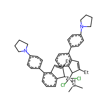 CCC1=Cc2c(-c3ccc(N4CCCC4)cc3)cccc2[CH]1[Zr]([Cl])([Cl])([CH]1C(CC)=Cc2c(-c3ccc(N4CCCC4)cc3)cccc21)[SiH](C)C